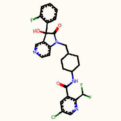 O=C(NC1CCC(CN2C(=O)C(O)(c3ccccc3F)c3cnccc32)CC1)c1cc(Cl)cnc1C(F)F